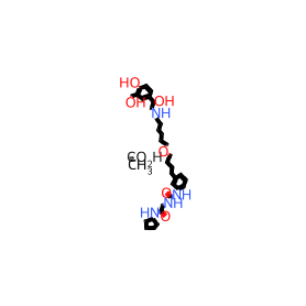 CC(=O)O.O=C(CNC(=O)Nc1cccc(CCCCOCCCCCCNC[C@H](O)c2ccc(O)c(CO)c2)c1)NC1CCCC1